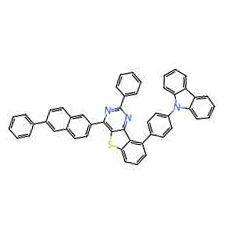 c1ccc(-c2ccc3cc(-c4nc(-c5ccccc5)nc5c4sc4cccc(-c6ccc(-n7c8ccccc8c8ccccc87)cc6)c45)ccc3c2)cc1